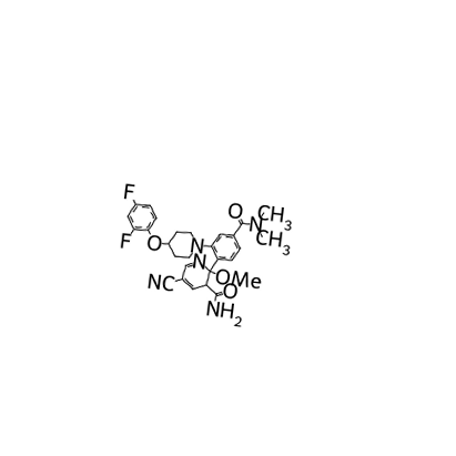 COC1(c2ccc(C(=O)N(C)C)cc2N2CCC(Oc3ccc(F)cc3F)CC2)N=CC(C#N)=CC1C(N)=O